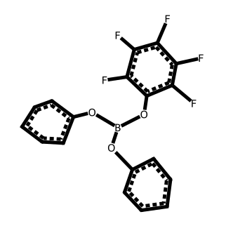 Fc1c(F)c(F)c(OB(Oc2ccccc2)Oc2ccccc2)c(F)c1F